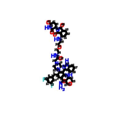 NC(=O)c1cc(Cc2cc(F)cc(F)c2)c(N2CCN(CC(=O)NCCOCCNc3cccc4c3C(=O)N(C3CCC(=O)NC3=O)C4=O)CC2)c(-c2n[nH]c3ccccc23)c1NC1CCOCC1